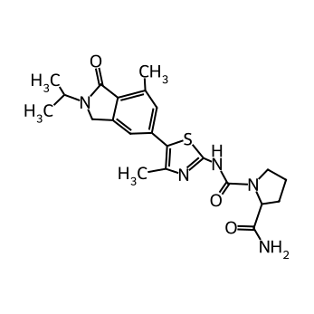 Cc1cc(-c2sc(NC(=O)N3CCCC3C(N)=O)nc2C)cc2c1C(=O)N(C(C)C)C2